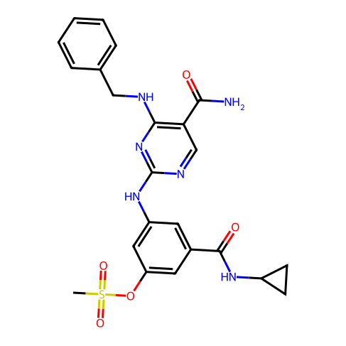 CS(=O)(=O)Oc1cc(Nc2ncc(C(N)=O)c(NCc3ccccc3)n2)cc(C(=O)NC2CC2)c1